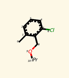 Cc1cccc(Cl)c1COC(C)C